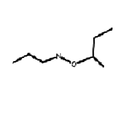 CCC[N]OC(C)CC